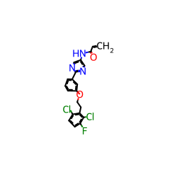 C=CC(=O)Nc1cnc(-c2cccc(OCCc3c(Cl)ccc(F)c3Cl)c2)nc1